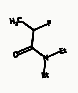 CCN(CC)C(=O)C(C)F